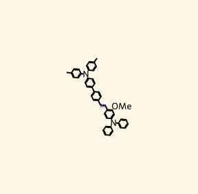 COc1cc(N(c2ccccc2)c2ccccc2)ccc1/C=C/c1ccc(-c2ccc(N(c3ccc(C)cc3)c3ccc(C)cc3)cc2)cc1